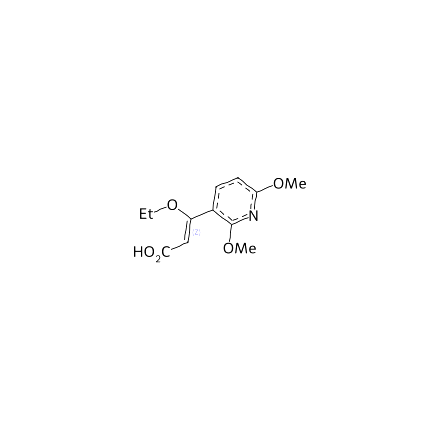 CCO/C(=C\C(=O)O)c1ccc(OC)nc1OC